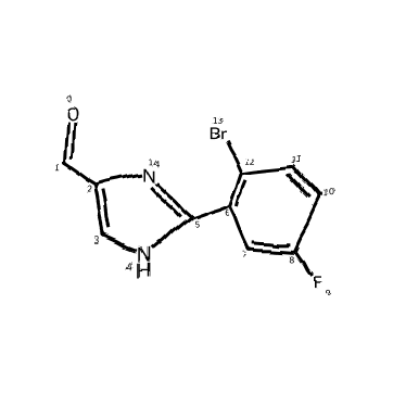 O=Cc1c[nH]c(-c2cc(F)ccc2Br)n1